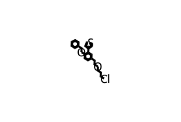 ClCCCOCCc1ccc(OCc2ccccc2)c(-c2ccsc2)c1